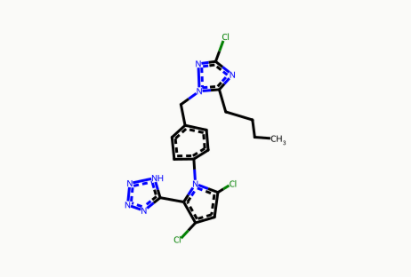 CCCCc1nc(Cl)nn1Cc1ccc(-n2c(Cl)cc(Cl)c2-c2nnn[nH]2)cc1